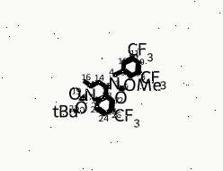 COC(=O)N(Cc1cc(C(F)(F)F)cc(C(F)(F)F)c1)C1CC(C)N(C(=O)OC(C)(C)C)c2ccc(C(F)(F)F)cc21